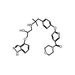 CC(C)(Cc1ccc(Oc2ccc(C(=O)N3CCOCC3)cn2)cc1)NCC(O)COc1cccc2[nH]ncc12